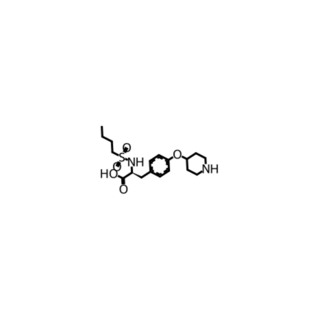 CCCCS(=O)(=O)N[C@@H](Cc1ccc(OC2CCNCC2)cc1)C(=O)O